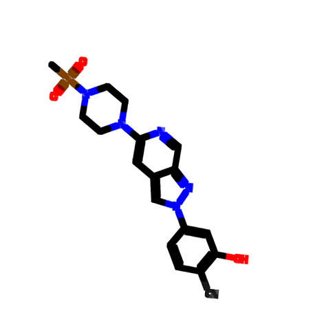 CS(=O)(=O)N1CCN(c2cc3cn(-c4ccc(C#N)c(O)c4)nc3cn2)CC1